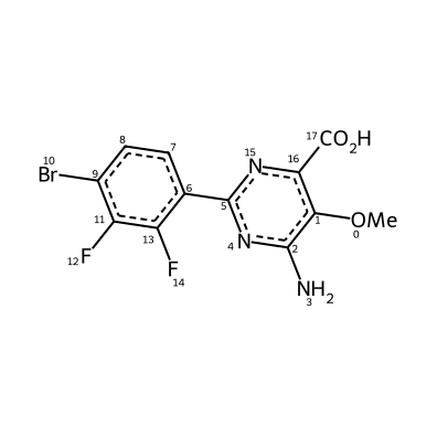 COc1c(N)nc(-c2ccc(Br)c(F)c2F)nc1C(=O)O